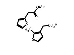 COC(=O)Cc1cccs1.Cc1sccc1CC(=O)O